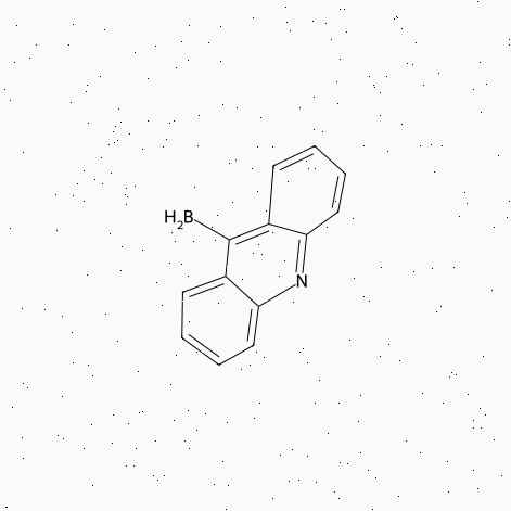 Bc1c2ccccc2nc2ccccc12